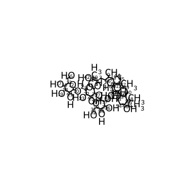 C[C@H](CC[C@@H](O[C@@H]1O[C@H](CO[C@@H]2O[C@H](CO)[C@@H](O)[C@H](O)[C@H]2O)[C@@H](O)[C@H](O)[C@H]1O[C@@H]1O[C@H](CO)[C@@H](O)[C@H](O)[C@H]1O)C(C)(C)O)[C@H]1CC[C@@]2(C)[C@@H]3CC=C4[C@@H](CC[C@H](O)C4(C)C)[C@]3(C)[C@H](O)C[C@]12C